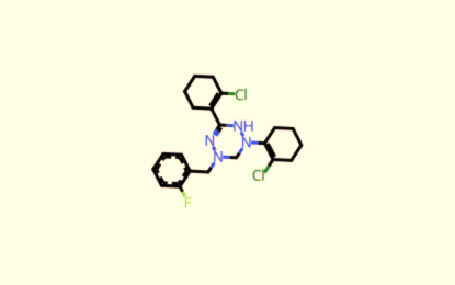 Fc1ccccc1CN1CN(C2=C(Cl)CCCC2)NC(C2=C(Cl)CCCC2)=N1